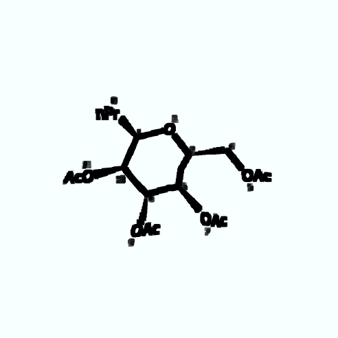 CCC[C@H]1O[C@H](COC(C)=O)[C@@H](OC(C)=O)[C@H](OC(C)=O)[C@H]1OC(C)=O